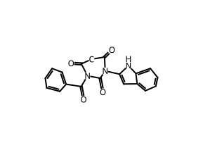 O=C1CC(=O)N(c2cc3ccccc3[nH]2)C(=O)N1C(=O)c1ccccc1